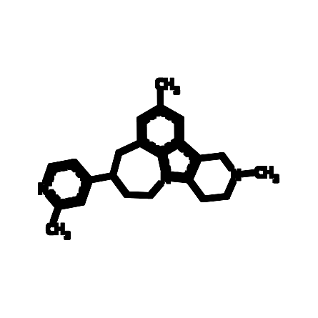 Cc1cc2c3c(c1)c1c(n3CCC(c3ccnc(C)c3)C2)CCN(C)C1